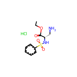 CCOC(=O)[C@H](CN)NS(=O)(=O)c1ccccc1.Cl